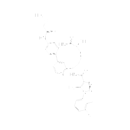 COCC(=O)Nc1ccc2c(c1)NC(=O)[C@@H](C)CCC[C@H](NC(=O)c1nnn(-c3cccc(Cl)c3F)c1C)c1cc-2ccn1